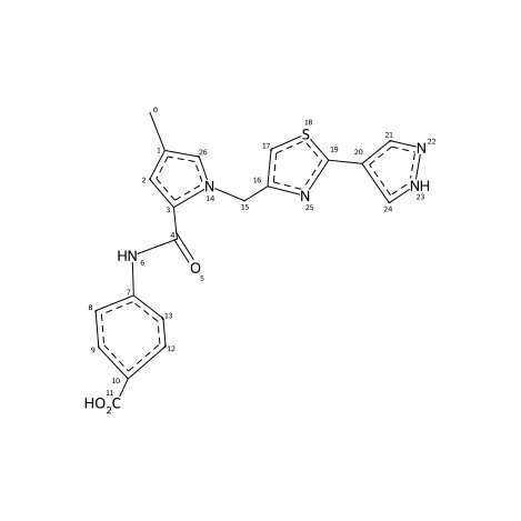 Cc1cc(C(=O)Nc2ccc(C(=O)O)cc2)n(Cc2csc(-c3cn[nH]c3)n2)c1